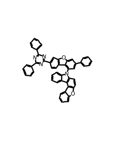 c1ccc(-c2cc(-n3c4ccccc4c4c5c(ccc43)oc3ccccc35)c3c(c2)oc2cc(-c4nc(-c5ccccc5)nc(-c5ccccc5)n4)ccc23)cc1